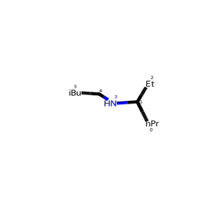 CCCC(CC)NCC(C)CC